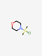 CS(C)(Cl)N1CCOCC1